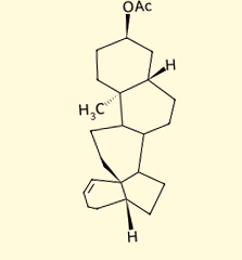 CC(=O)O[C@@H]1CC[C@]2(C)C3CC[C@]45C=CCC[C@H]4CCC5C3CC[C@H]2C1